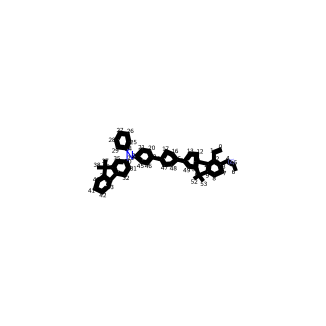 C=Cc1c(/C=C\C)ccc2c1-c1ccc(-c3ccc(-c4ccc(N(c5ccccc5)c5ccc6c(c5)C(C)(C)c5ccccc5-6)cc4)cc3)cc1C2(C)C